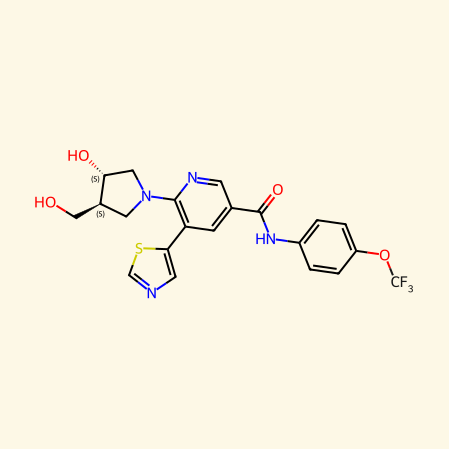 O=C(Nc1ccc(OC(F)(F)F)cc1)c1cnc(N2C[C@@H](CO)[C@H](O)C2)c(-c2cncs2)c1